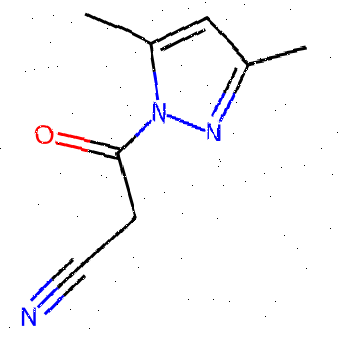 Cc1cc(C)n(C(=O)CC#N)n1